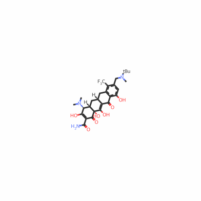 CN(C)[C@@H]1C(O)=C(C(N)=O)C(=O)[C@@]2(O)C(O)=C3C(=O)c4c(O)cc(CN(C)C(C)(C)C)c(C(F)(F)F)c4C[C@H]3C[C@@H]12